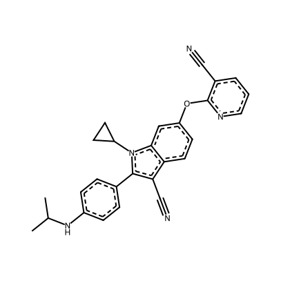 CC(C)Nc1ccc(-c2c(C#N)c3ccc(Oc4ncccc4C#N)cc3n2C2CC2)cc1